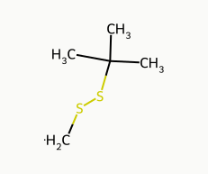 [CH2]SSC(C)(C)C